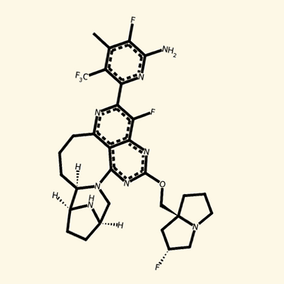 Cc1c(F)c(N)nc(-c2nc3c4c(nc(OC[C@@]56CCCN5C[C@H](F)C6)nc4c2F)N2C[C@H]4CC[C@H](N4)[C@H]2CCC3)c1C(F)(F)F